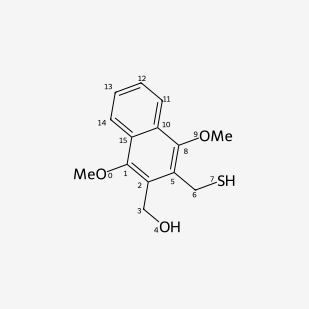 COc1c(CO)c(CS)c(OC)c2ccccc12